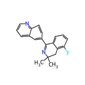 CC1(C)Cc2c(F)cccc2C(c2ccc3ncccc3c2)=N1